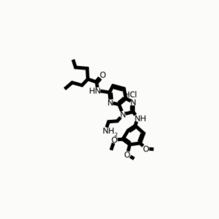 CCCC(CCC)C(=O)Nc1ccc2nc(Nc3cc(OC)c(OC)c(OC)c3)n(CCN)c2n1.Cl